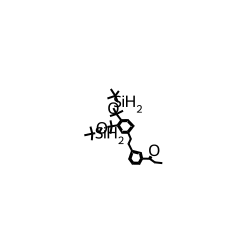 CCC(=O)c1cccc(CCc2ccc(C(C)(C)O[SiH2]C(C)(C)C)c(C(C)(C)O[SiH2]C(C)(C)C)c2)c1